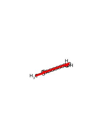 CCCCCCCCCCCCC(=O)N(CCOCCOCCOCCOCCOCCOCCOCCOCCOCCOCCOCCOCCC(=O)NC(CC[C]=O)C(=O)O)C(=O)O